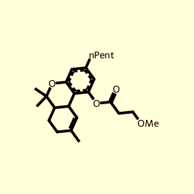 CCCCCc1cc(OC(=O)CCOC)c2c(c1)OC(C)(C)C1CCC(C)=CC21